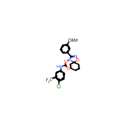 COc1cccc(C2=NOC3(CCCCC3)N2OC(=O)Nc2ccc(Cl)c(C(F)(F)F)c2)c1